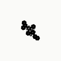 C=N/C(=N\C(=N/Cc1ccccc1)c1cc2ccccc2c2ccccc12)c1cccc2oc3c(-c4ccc5ccccc5c4)cccc3c12